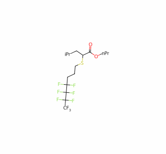 CCCOC(=O)C(CC(C)C)SCCCC(F)(F)C(F)(F)C(F)(F)C(F)(F)F